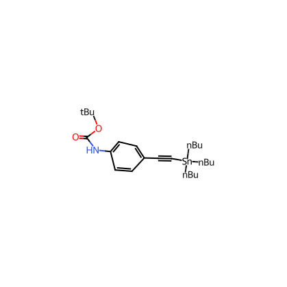 CCC[CH2][Sn]([C]#Cc1ccc(NC(=O)OC(C)(C)C)cc1)([CH2]CCC)[CH2]CCC